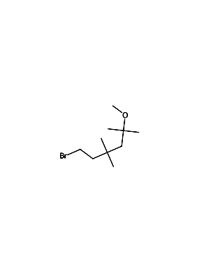 COC(C)(C)CC(C)(C)CCBr